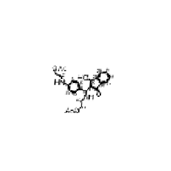 CC(=O)OCCNc1ccc(C(NCCOC(C)=O)C2C(=O)c3ccccc3C2O)cc1